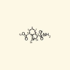 COC(=O)c1cccc2c(S(N)(=O)=O)cn(C)c12